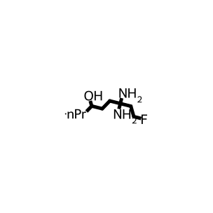 CC[CH]C(O)CCC(N)(N)CCF